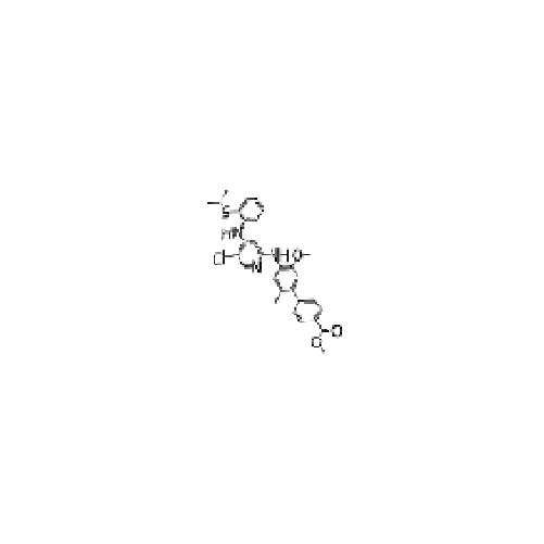 COC(=O)c1ccc(-c2cc(OC)c(Nc3cc(Nc4ccccc4SC(C)C)c(Cl)cn3)cc2C)cc1